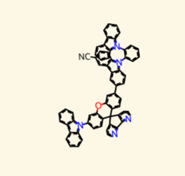 N#Cc1ccc2c(c1)c1cc(-c3ccc4c(c3)Oc3cc(-n5c6ccccc6c6ccccc65)ccc3C43c4cccnc4-c4ncccc43)ccc1n2-c1ccccc1-n1c2ccccc2c2ccccc21